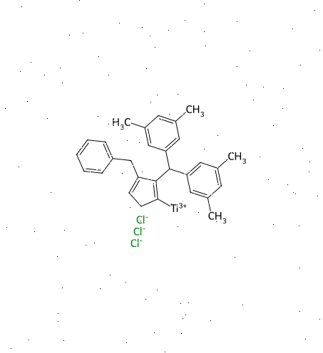 Cc1cc(C)cc(C(C2=[C]([Ti+3])CC=C2Cc2ccccc2)c2cc(C)cc(C)c2)c1.[Cl-].[Cl-].[Cl-]